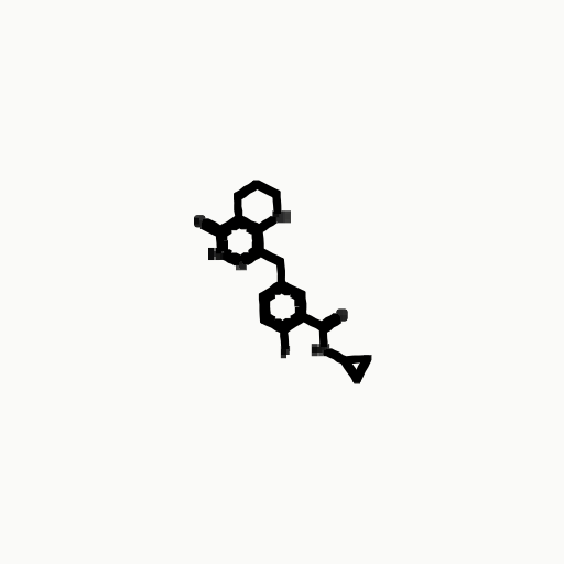 O=C(NC1CC1)c1cc(Cc2n[nH]c(=O)c3c2NCCC3)ccc1F